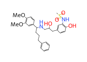 COc1ccc(C(CCCc2ccccc2)NCC(O)Cc2ccc(O)c(NS(C)(=O)=O)c2)cc1OC